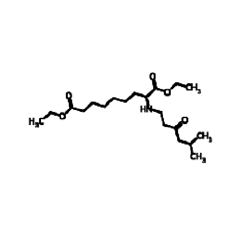 CCOC(=O)CCCCCCC(NCCC(=O)CC(C)C)C(=O)OCC